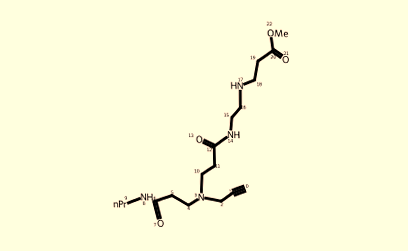 C#CCN(CCC(=O)NCCC)CCC(=O)NCCNCCC(=O)OC